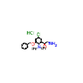 CC(C)N(c1c(OCc2ccccc2)cc(Cl)cc1C(=O)CN)C(C)C.Cl